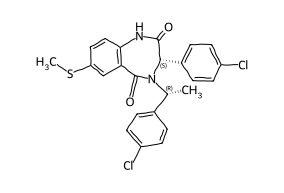 CSc1ccc2c(c1)C(=O)N([C@H](C)c1ccc(Cl)cc1)[C@@H](c1ccc(Cl)cc1)C(=O)N2